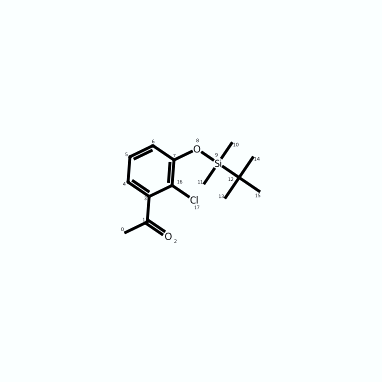 CC(=O)c1cccc(O[Si](C)(C)C(C)(C)C)c1Cl